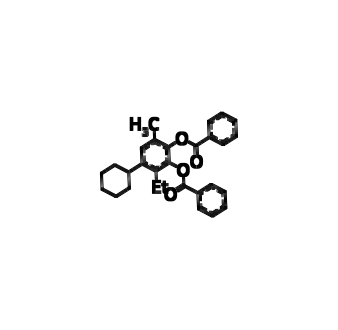 CCc1c(C2CCCCC2)cc(C)c(OC(=O)c2ccccc2)c1OC(=O)c1ccccc1